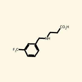 O=C(O)CCNCc1cccc(C(F)(F)F)c1